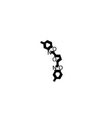 Cc1ccc2oc(-c3ccc(-c4nc5cc(C)ccc5o4)o3)nc2c1